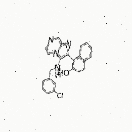 Oc1ccc2ccccc2c1-c1nc2cnccn2c1NCc1cccc(Cl)c1